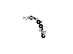 CN1CCN(CCOc2ccc(-c3ccc(CC(=O)NCc4ccccn4)cc3)c(F)c2)CC1